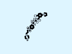 CN1CCN(CCCS(=O)(=O)c2ccc3nc(NC(=O)NC(=O)c4cc(N5CCCC5)ccc4Cl)sc3c2)CC1